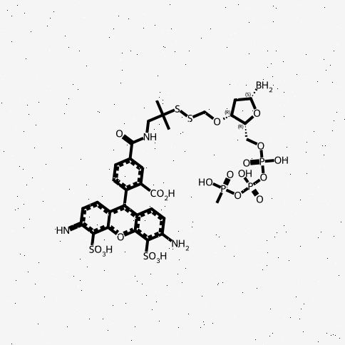 B[C@H]1C[C@@H](OCSSC(C)(C)CNC(=O)c2ccc(-c3c4ccc(=N)c(S(=O)(=O)O)c-4oc4c(S(=O)(=O)O)c(N)ccc34)c(C(=O)O)c2)[C@@H](COP(=O)(O)OP(=O)(O)OP(C)(=O)O)O1